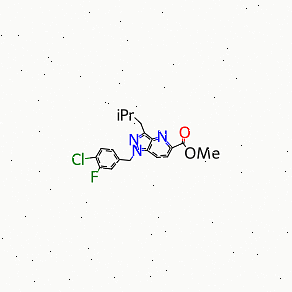 COC(=O)c1ccc2c(n1)c(CC(C)C)nn2Cc1ccc(Cl)c(F)c1